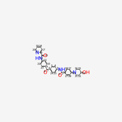 O=C(Nc1ccc(C(=O)c2ccc(NC(=O)c3ccccn3)cc2)cc1)c1ccc(N2CCC(O)CC2)cc1